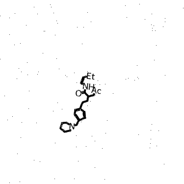 CC/C=C\NC(=O)C(CCc1ccc(CN2CCCCC2)cc1)CC(C)=O